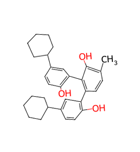 Cc1ccc(-c2cc(C3CCCCC3)ccc2O)c(-c2cc(C3CCCCC3)ccc2O)c1O